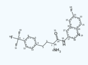 N[C@H](CCc1ccc(C(F)(F)F)cc1)C(=O)Nc1cnc2ccc(F)cc2c1